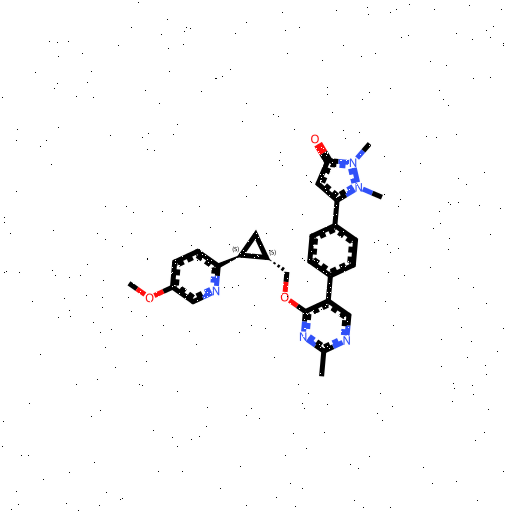 COc1ccc([C@H]2C[C@@H]2COc2nc(C)ncc2-c2ccc(-c3cc(=O)n(C)n3C)cc2)nc1